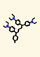 C=c1ccc(=C(/C=C/C=C(c2ccc(N(CC)CC)cc2)c2ccc(N(CC)CC)cc2)c2ccc(N(CC)CC)cc2)cc1